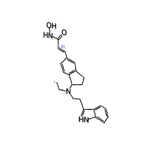 [CH2]CN(CCc1c[nH]c2ccccc12)C1CCc2cc(/C=C/C(=O)NO)ccc21